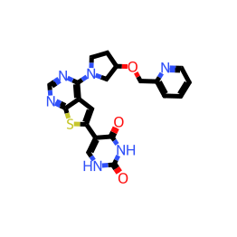 O=c1[nH]cc(-c2cc3c(N4CCC(OCc5ccccn5)C4)ncnc3s2)c(=O)[nH]1